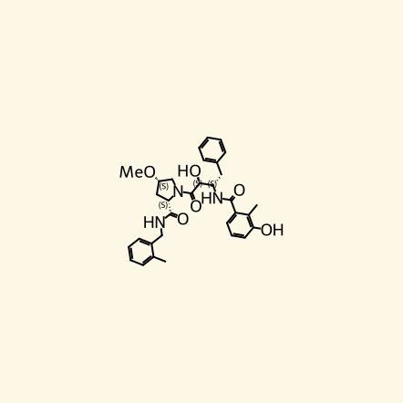 CO[C@H]1C[C@@H](C(=O)NCc2ccccc2C)N(C(=O)[C@@H](O)[C@H](Cc2ccccc2)NC(=O)c2cccc(O)c2C)C1